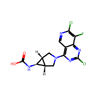 O=C(O)N[C@H]1[C@@H]2CN(c3nc(Cl)nc4c(F)c(Cl)ncc34)C[C@@H]21